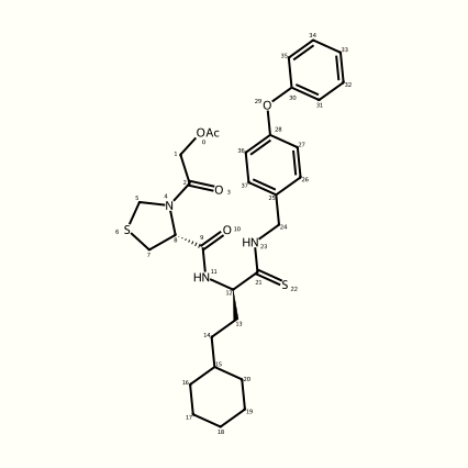 CC(=O)OCC(=O)N1CSC[C@H]1C(=O)N[C@H](CCC1CCCCC1)C(=S)NCc1ccc(Oc2ccccc2)cc1